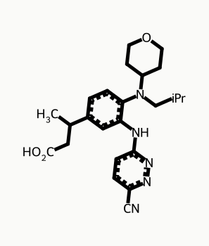 CC(C)CN(c1ccc(C(C)CC(=O)O)cc1Nc1ccc(C#N)nn1)C1CCOCC1